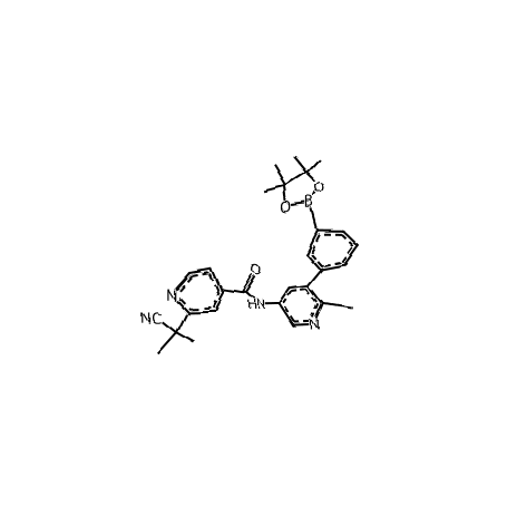 Cc1ncc(NC(=O)c2ccnc(C(C)(C)C#N)c2)cc1-c1cccc(B2OC(C)(C)C(C)(C)O2)c1